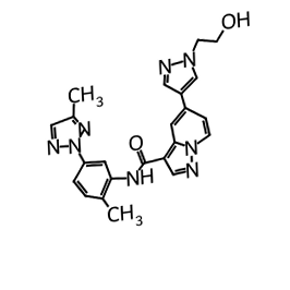 Cc1cnn(-c2ccc(C)c(NC(=O)c3cnn4ccc(-c5cnn(CCO)c5)cc34)c2)n1